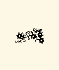 CCOC(=O)C(COC(=O)Cc1ncc(NC(=O)c2ccccc2-c2ccc(C(F)(F)F)cc2)cc1C(=O)N(C)C)(C(=O)OCC)c1ccccc1